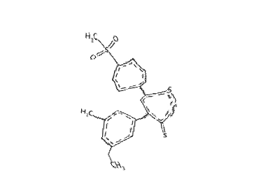 Cc1cc(C)cc(-c2c(-c3ccc(S(C)(=O)=O)cc3)ssc2=S)c1